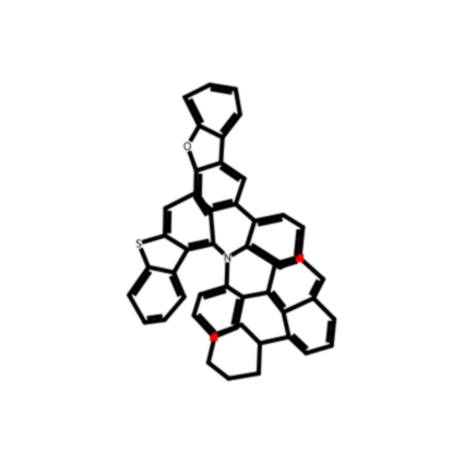 c1ccc(N(c2ccccc2-c2cccc3cccc(C4CCCCC4)c23)c2cccc3sc4ccccc4c23)c(-c2ccc3oc4ccccc4c3c2)c1